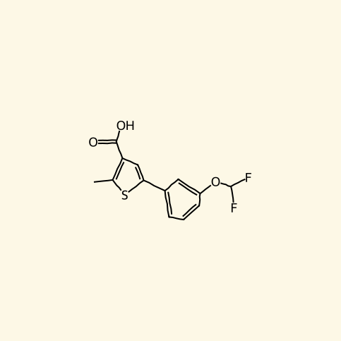 Cc1sc(-c2cccc(OC(F)F)c2)cc1C(=O)O